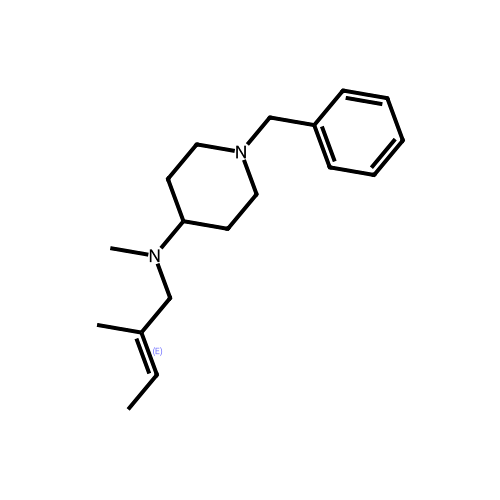 C/C=C(\C)CN(C)C1CCN(Cc2ccccc2)CC1